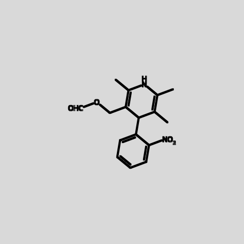 CC1=C(C)C(c2ccccc2[N+](=O)[O-])C(COC=O)=C(C)N1